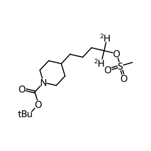 [2H]C([2H])(CCCC1CCN(C(=O)OC(C)(C)C)CC1)OS(C)(=O)=O